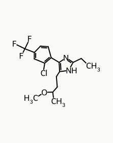 CCc1nc(-c2ccc(C(F)(F)F)cc2Cl)c(CCC(C)OC)[nH]1